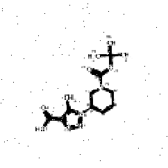 Cc1c(C(=O)O)nnn1[C@@H]1CCCN(C(=O)OC(C)(C)C)C1